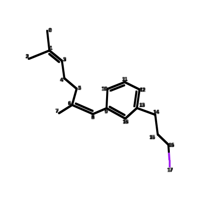 CC(C)=CCCC(C)=Cc1cccc(CCCI)c1